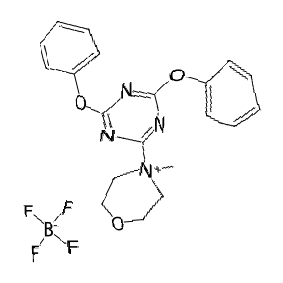 C[N+]1(c2nc(Oc3ccccc3)nc(Oc3ccccc3)n2)CCOCC1.F[B-](F)(F)F